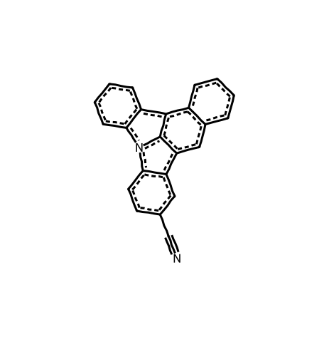 N#Cc1ccc2c(c1)c1cc3ccccc3c3c4ccccc4n2c13